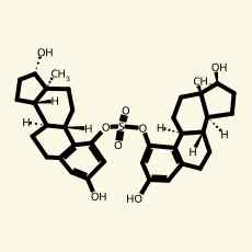 C[C@]12CC[C@@H]3c4c(cc(O)cc4OS(=O)(=O)Oc4cc(O)cc5c4[C@H]4CC[C@]6(C)[C@@H](O)CC[C@H]6[C@@H]4CC5)CC[C@H]3[C@@H]1CC[C@@H]2O